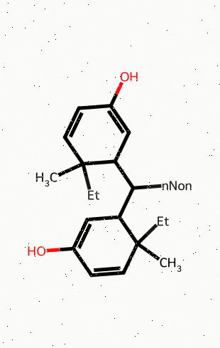 CCCCCCCCCC(C1C=C(O)C=CC1(C)CC)C1C=C(O)C=CC1(C)CC